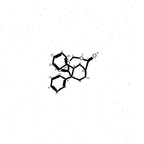 O=C1OCOC(=O)C2(c3ccccc3)CCC1CC2c1ccccc1